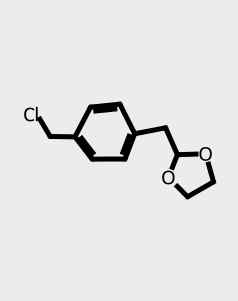 ClCc1ccc(CC2OCCO2)cc1